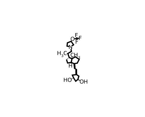 C[C@H](CN1CC[C@@H](OC(F)(F)F)C1)[C@H]1CC[C@H]2/C(=C/C=C3C[C@@H](O)C[C@H](O)C3)CCC[C@]12C